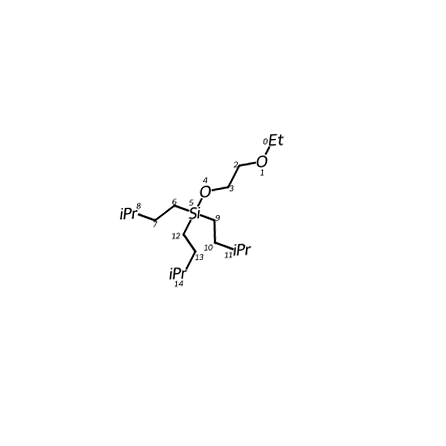 CCOCCO[Si](CCC(C)C)(CCC(C)C)CCC(C)C